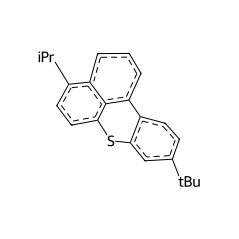 CC(C)c1ccc2c3c(cccc13)-c1ccc(C(C)(C)C)cc1S2